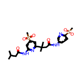 CC(C)CC(=O)Nc1cc(S(C)(=O)=O)cc(C(C)(C)CC(=O)Nc2ccc(S(C)(=O)=O)nc2)n1